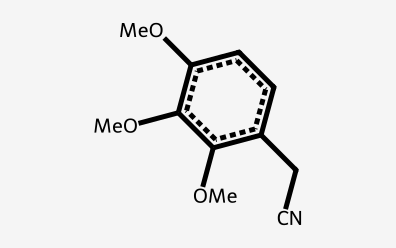 COc1ccc(CC#N)c(OC)c1OC